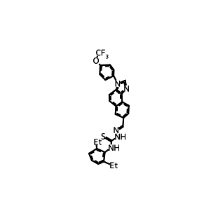 CCc1cccc(CC)c1NC(=S)NN=Cc1ccc2c(ccc3c2ncn3-c2ccc(OC(F)(F)F)cc2)c1